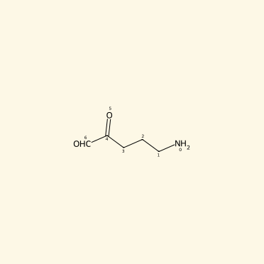 NCCCC(=O)C=O